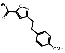 COc1ccc(CCc2cc(C(=O)C(C)C)on2)cc1